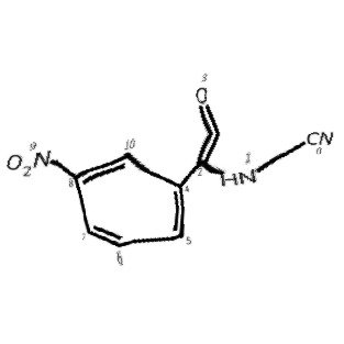 N#CNC(=O)c1cccc([N+](=O)[O-])c1